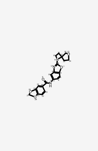 O=C(Nc1ccc2oc(N3CCC34CCOC4)nc2c1)c1ccc2c(c1)OCO2